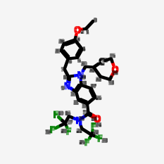 CCOc1ccc(Cc2nc3cc(C(=O)N(CC(F)(F)F)CC(F)(F)F)ccc3n2CC2CCOCC2)cc1